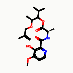 C=C(C)CO[C@@H](C)C(OC(=O)[C@H](C)NC(=O)c1nccc(OC)c1O)C(C)C